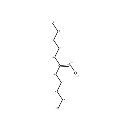 CCCCCC(CCCCC)=N[O]